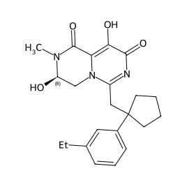 CCc1cccc(C2(Cc3nc(=O)c(O)c4n3C[C@@H](O)N(C)C4=O)CCCC2)c1